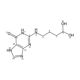 O=c1[nH]c(NCCCC(O)O)nc2nc[nH]c12